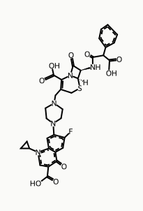 O=C(O)C1=C(CN2CCN(c3cc4c(cc3F)c(=O)c(C(=O)O)cn4C3CC3)CC2)CS[C@@H]2[C@H](NC(=O)C(C(=O)O)c3ccccc3)C(=O)N12